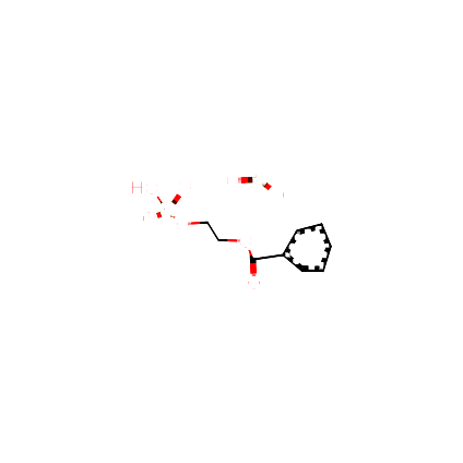 O=C(OCCOS(=O)(=O)O)c1ccccc1.O=S=O